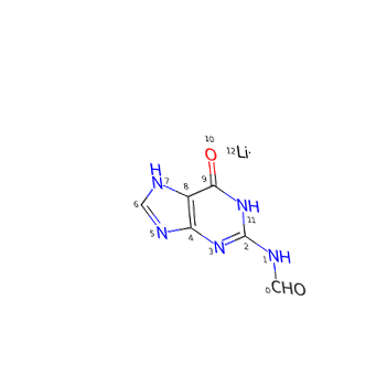 O=CNc1nc2nc[nH]c2c(=O)[nH]1.[Li]